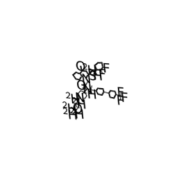 [2H]C([2H])([2H])OCC([2H])([2H])N1CCC(N(C(=O)Cn2c(SC([2H])([2H])c3cccc(F)c3F)cc(=O)c3ccccc32)C([2H])(C)c2ccc(-c3ccc(C(F)(F)F)cc3)cc2)CC1